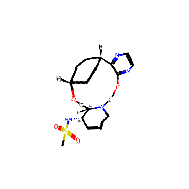 CS(=O)(=O)N[C@H]1CCCN2COc3nccnc3[C@H]3CC[C@H](CC3)OC[C@@H]12